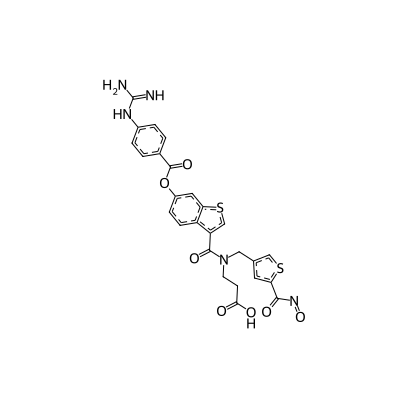 N=C(N)Nc1ccc(C(=O)Oc2ccc3c(C(=O)N(CCC(=O)O)Cc4csc(C(=O)N=O)c4)csc3c2)cc1